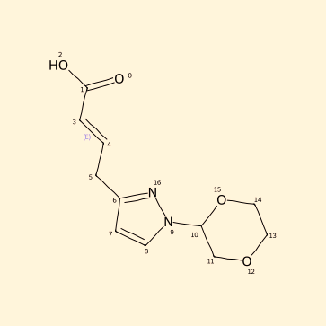 O=C(O)/C=C/Cc1ccn(C2COCCO2)n1